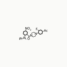 CC(=O)c1ccc(N2CCN(C(=O)c3cc([N+](=O)[O-])ccc3N(C)C(C)C)CC2)c(F)c1